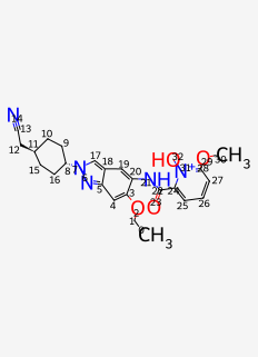 CCOc1cc2nn([C@H]3CC[C@H](CC#N)CC3)cc2cc1NC(=O)c1cccc(OC)[n+]1O